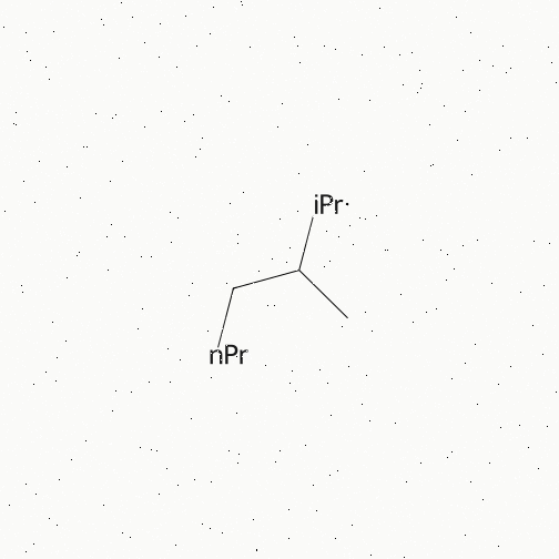 [CH2]CCCC(C)[C](C)C